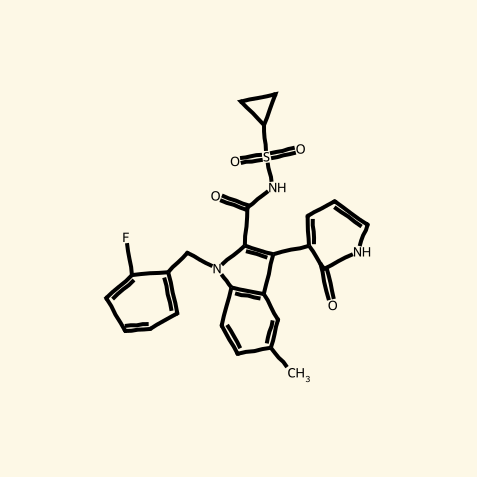 Cc1ccc2c(c1)c(-c1ccc[nH]c1=O)c(C(=O)NS(=O)(=O)C1CC1)n2Cc1ccccc1F